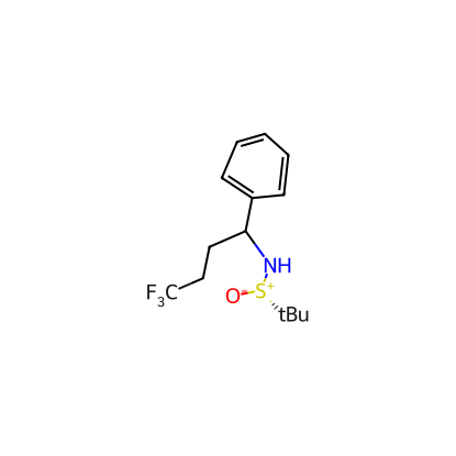 CC(C)(C)[S@+]([O-])NC(CCC(F)(F)F)c1ccccc1